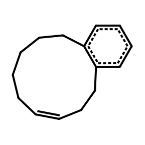 C1=CCCc2ccccc2CCCCC1